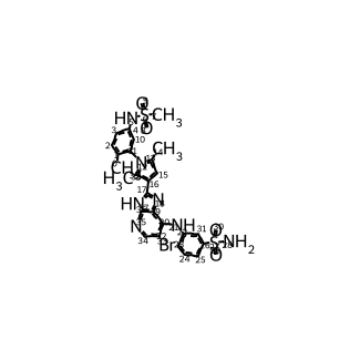 Cc1ccc(NS(C)(=O)=O)cc1-n1c(C)cc(-c2nc3c(Nc4cccc(S(N)(=O)=O)c4)c(Br)cnc3[nH]2)c1C